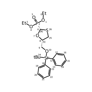 CCOP(=O)(OCC)[C@H]1O[C@@H](CO[Si](c2ccccc2)(c2ccccc2)C(C)(C)C)CS1